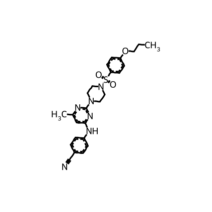 CCCOc1ccc(S(=O)(=O)N2CCN(c3nc(C)cc(Nc4ccc(C#N)cc4)n3)CC2)cc1